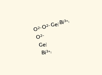 [Bi+3].[Bi+3].[Ge].[Ge].[O-2].[O-2].[O-2]